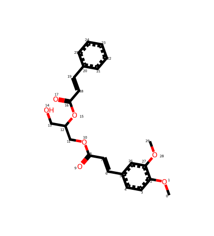 COc1ccc(/C=C/C(=O)OCC(CO)OC(=O)/C=C/c2ccccc2)cc1OC